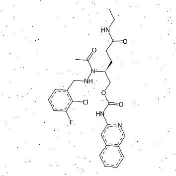 [CH2]CNC(=O)CC[C@@H](COC(=O)Nc1cc2ccccc2cn1)N(NCc1cccc(F)c1Cl)C(C)=O